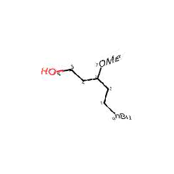 CCCCCCC(CCO)OC